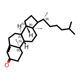 CC(C)CCC[C@@H](C)C1CC[C@H]2[C@@H]3CCC4=CC(=O)CC[C@]4(C)[C@H]3CC[C@]12C